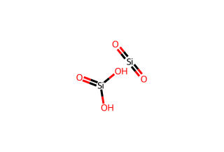 O=[Si](O)O.O=[Si]=O